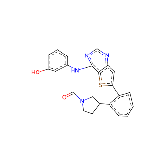 O=CN1CCC(c2ccccc2-c2cc3ncnc(Nc4cccc(O)c4)c3s2)C1